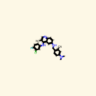 CN(C)c1ccc(CNc2ccc3ncc(C#N)c(Nc4ccc(F)c(Cl)c4)c3c2)c(C#N)c1